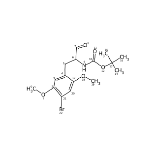 COc1cc(CC(C=O)NC(=O)OC(C)(C)C)c(OC)cc1Br